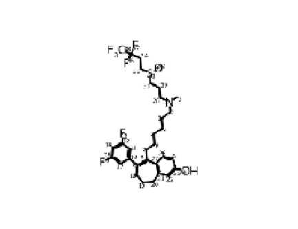 CN(CCCCCCC1=C(c2cc(F)cc(F)c2)CCCc2cc(O)ccc21)CCC[S+]([O-])CCC(F)(F)C(F)(F)F